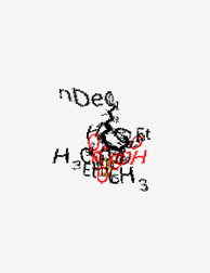 CCCCCCCCCCCCCC=C[C@H](OC(C)OCC)[C@H](OS(C)(=O)=O)C(O)C(C)OCC